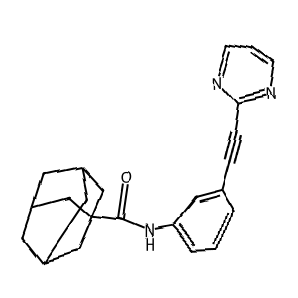 O=C(Nc1cccc(C#Cc2ncccn2)c1)C12CC3CC(CC(C3)C1)C2